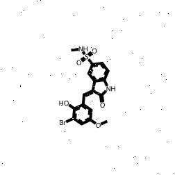 CNS(=O)(=O)c1ccc2c(c1)C(=Cc1cc(OC)cc(Br)c1O)C(=O)N2